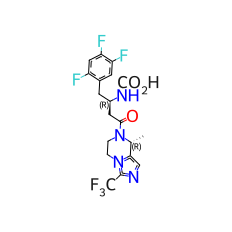 C[C@@H]1c2cnc(C(F)(F)F)n2CCN1C(=O)C[C@@H](Cc1cc(F)c(F)cc1F)NC(=O)O